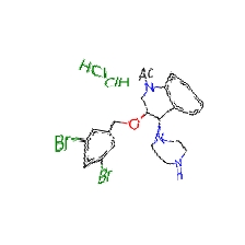 CC(=O)N1C[C@H](OCc2cc(Br)cc(Br)c2)[C@H](N2CCNCC2)c2ccccc21.Cl.Cl